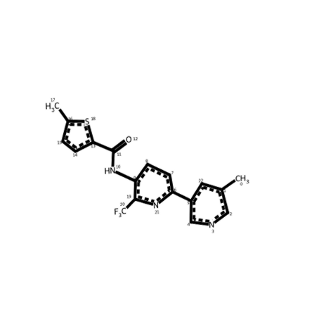 Cc1cncc(-c2ccc(NC(=O)c3ccc(C)s3)c(C(F)(F)F)n2)c1